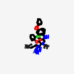 CC(C)N(CC(=O)Nc1ccc(Oc2ccccc2)cc1)C(COc1ccccc1Cl)c1nnnn1CCC#N